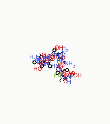 CCCC[C@@H](C(=O)N1CCOC[C@@H]1C(=O)N[C@H](C=O)CC(=O)O)N(C)C(=O)[C@H](Cc1ccccc1)N(C)C(=O)[C@H](Cc1cc(F)c(F)c(F)c1)NC(=O)CSC[C@H](NC[C@H](CCCN)NC(=O)[C@H](Cc1ccc(O)cc1)NC(=O)[C@H](Cc1c[nH]c2ccccc12)NC(=O)[C@H]1COCCN1C(=O)[C@H](Cc1ccc(O)cc1)NC(=O)[C@H](Cc1ccccc1)N(C)C(=O)[C@@H](N)C(C)C)C(=O)NCC(N)=O